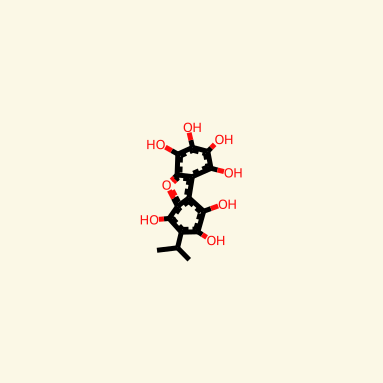 CC(C)c1c(O)c(O)c2c(oc3c(O)c(O)c(O)c(O)c32)c1O